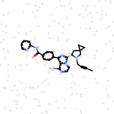 CC#CCN1CC2(CC2)C[C@H]1c1nc(-c2ccc(C(=O)Nc3ccccn3)cc2)c2c(N)nccn12